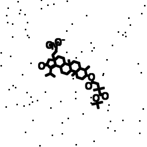 CC(C)C1=C2C3CCC4C(C)(CCC5C(C)C(OC(=O)CC(C)(C)C(=O)OC(C)(C)C)CCC54C)C3CCC2(CC[N+](=O)[O-])CC1=O